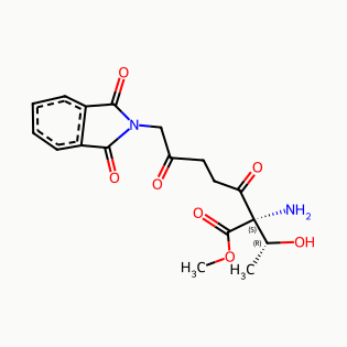 COC(=O)[C@@](N)(C(=O)CCC(=O)CN1C(=O)c2ccccc2C1=O)[C@@H](C)O